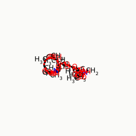 C=CCN(/C=C1/C(=O)O[C@H](COC)[C@@]2(C)C1=C(O)C(=O)C1=C2[C@H](OC(C)=O)C[C@@]2(C)C1CC[C@@H]2OC(=O)CCCCC(=O)O[C@H]1CC[C@H](C[C@@H](C)[C@@H]2CC(=O)[C@H](C)/C=C(\C)[C@@H](O)[C@@H](OC)C(=O)[C@H](C)C[C@H](C)/C=C/C=C/C=C(\C)[C@@H](OC)C[C@@H]3CC[C@@H](C)[C@@](O)(O3)C(=O)C(=O)N3CC=CC[C@H]3C(=O)O2)CC1)CC=C